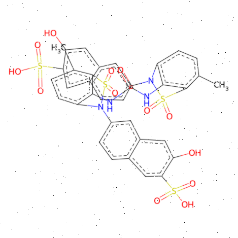 Cc1ccc2c(NC(=O)Nc3c4ccc(C)c3S(=O)(=O)N4c3ccc4cc(S(=O)(=O)O)c(O)cc4c3)c1S(=O)(=O)N2c1ccc2cc(S(=O)(=O)O)c(O)cc2c1